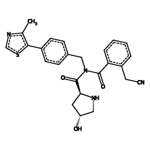 Cc1ncsc1-c1ccc(CN(C(=O)c2ccccc2CC#N)C(=O)[C@@H]2C[C@@H](O)CN2)cc1